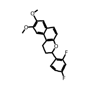 COc1cc2ccc3c(c2cc1OC)CCC(c1ccc(F)cc1F)O3